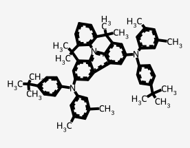 Cc1cc(C)cc(N(c2ccc(C(C)(C)C)cc2)c2cc3c4c(c2)c2cc(N(c5ccc(C(C)(C)C)cc5)c5cc(C)cc(C)c5)cc5c2n4-c2c(cccc2C5(C)C)C3(C)C)c1